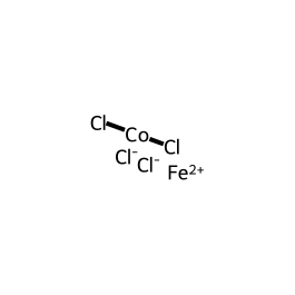 [Cl-].[Cl-].[Cl][Co][Cl].[Fe+2]